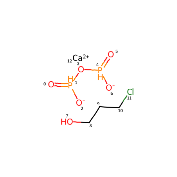 O=[PH]([O-])O[PH](=O)[O-].OCCCCl.[Ca+2]